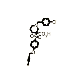 CC#CCOc1ccc(S(=O)(=O)C2(C(=O)O)CCCN(Cc3ccc(Cl)cc3)C2)cc1